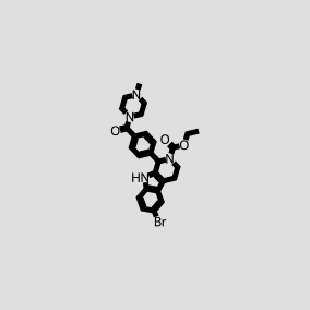 CCOC(=O)N1CCc2c([nH]c3ccc(Br)cc23)C1c1ccc(C(=O)N2CCN(C)CC2)cc1